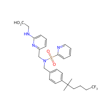 CC(C)(CCCC(F)(F)F)c1ccc(CN(Cc2cccc(NCC(=O)O)n2)S(=O)(=O)c2ccccn2)cc1